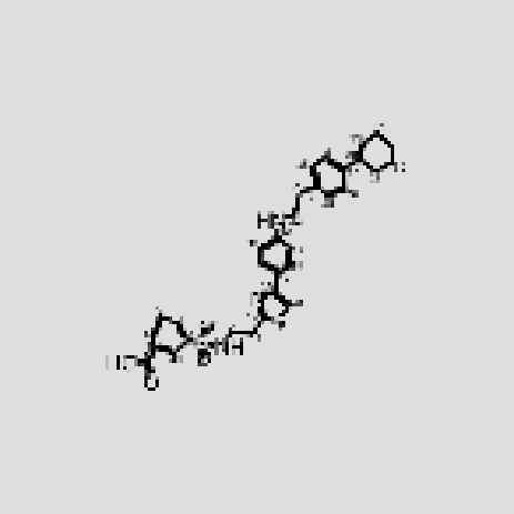 O=C(O)c1cccc(S(=O)(=O)NCCc2nc(-c3ccc(NCCc4ccc(C5CCCCC5)cc4)cc3)cs2)c1